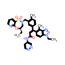 CC[C@@H]1CN(Cc2cc(C(=CC(=O)Nc3ccnnc3)c3ccc4c(nnn4CC)c3C)ccc2C)S(=O)(=O)c2cccnc2O1